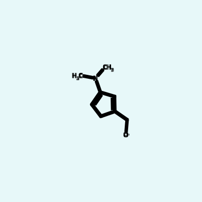 CN(C)C1=CCC(C[O])=C1